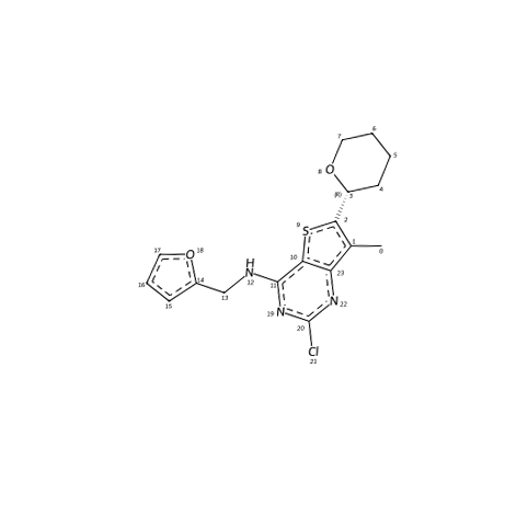 Cc1c([C@H]2CCCCO2)sc2c(NCc3ccco3)nc(Cl)nc12